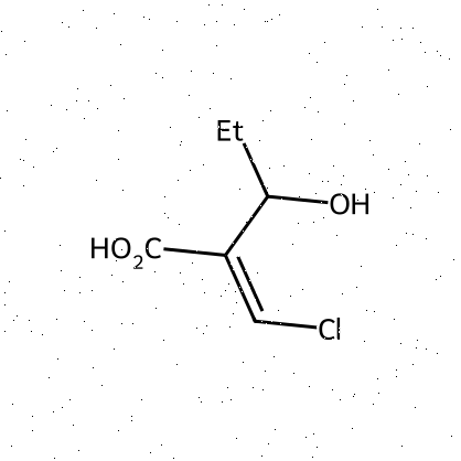 CCC(O)/C(=C\Cl)C(=O)O